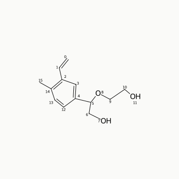 C=Cc1cc(C(CO)OCCO)ccc1C